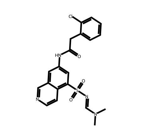 CN(C)/C=N/S(=O)(=O)c1cc(NC(=O)Cc2ccccc2Cl)cc2cnccc12